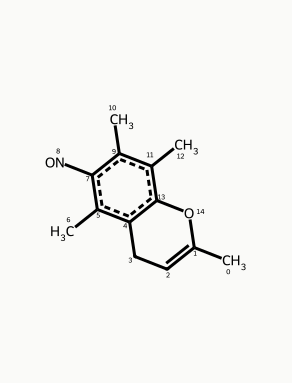 CC1=CCc2c(C)c(N=O)c(C)c(C)c2O1